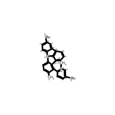 Cc1ccc2c(c1-c1ccc(C(C)(C)C)c[n+]1C)c1cccc3c4cc(C(C)(C)C)ccc4n2c31